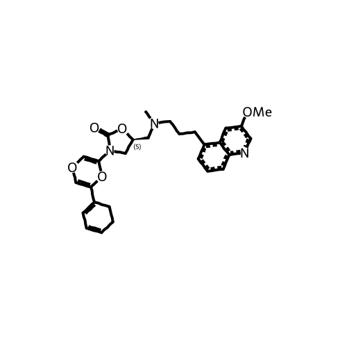 COc1cnc2cccc(CCCN(C)C[C@H]3CN(C4=COC=C(C5=CC=CCC5)O4)C(=O)O3)c2c1